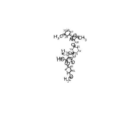 COc1ccc(OC(=O)N(CCC2CCCC(OCc3nc(-c4cccc(C)c4)oc3C)C2)[C@H](C(=O)O)C(C)C)cc1